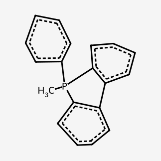 C[P]1(c2ccccc2)c2ccccc2-c2ccccc21